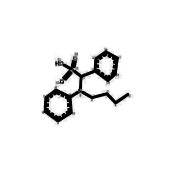 CCCCN(c1ccccc1)C(c1ccccc1)S(=O)(=O)O